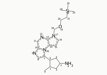 CC1CC(N)CC1c1cnc2cnc3c(ccn3COCC[Si](C)(C)C)n12